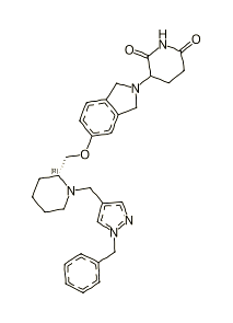 O=C1CCC(N2Cc3ccc(OC[C@H]4CCCCN4Cc4cnn(Cc5ccccc5)c4)cc3C2)C(=O)N1